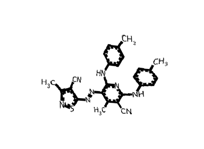 Cc1ccc(Nc2nc(Nc3ccc(C)cc3)c(N=Nc3snc(C)c3C#N)c(C)c2C#N)cc1